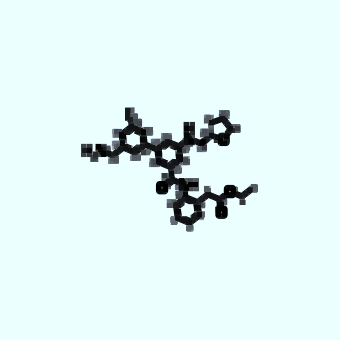 CCOC(=O)Cc1ccccc1NC(=O)c1cc(NC[C@H]2CCCO2)cc(-c2cc(F)cc(CN)c2)c1